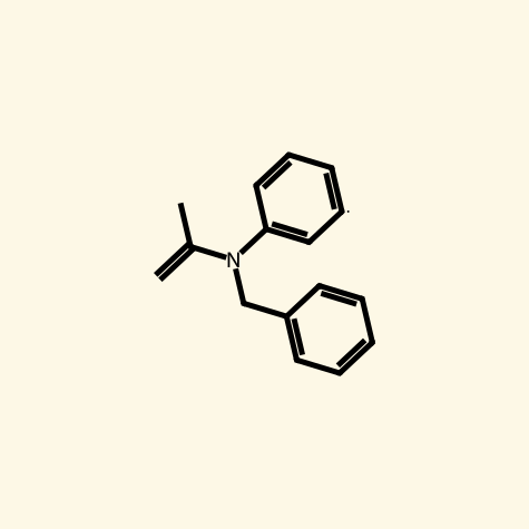 C=C(C)N(Cc1ccccc1)c1c[c]ccc1